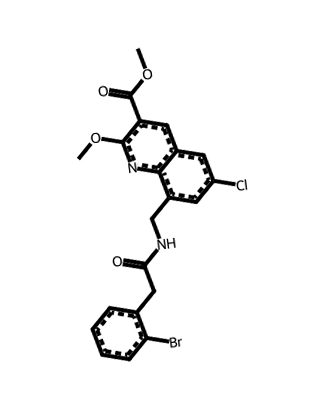 COC(=O)c1cc2cc(Cl)cc(CNC(=O)Cc3ccccc3Br)c2nc1OC